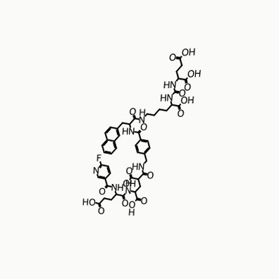 O=C(O)CCC(NC(=O)NC(CCCCNC(=O)C(Cc1ccc2ccccc2c1)NC(=O)c1ccc(CNC(=O)C(CC(NC(=O)C(CCC(=O)O)NC(=O)c2ccc(F)nc2)C(=O)O)C(=O)O)cc1)C(=O)O)C(=O)O